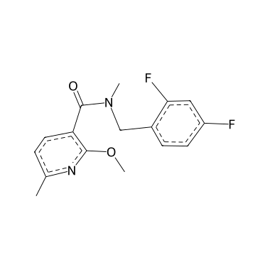 COc1nc(C)ccc1C(=O)N(C)Cc1ccc(F)cc1F